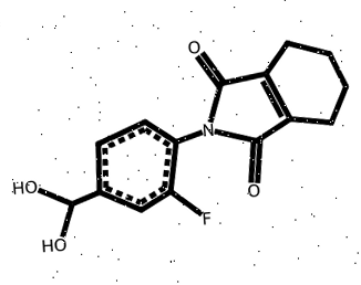 O=C1C2=C(CCCC2)C(=O)N1c1ccc(C(O)O)cc1F